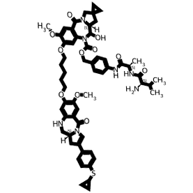 COc1cc2c(cc1OCCCCCOc1cc3c(cc1OC)C(=O)N1CC4(CC4)C[C@H]1C(O)N3C(=O)OCc1ccc(NC(=O)[C@H](C)NC(=O)[C@@H](N)C(C)C)cc1)NC[C@@H]1CC(c3ccc(SC4CC4)cc3)=CN1C2=O